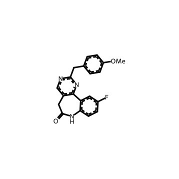 COc1ccc(Cc2ncc3c(n2)-c2cc(F)ccc2NC(=O)C3)cc1